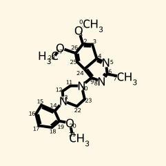 COc1cc2nc(C)nc(N3CCN(c4ccccc4OC)CC3)c2cc1OC